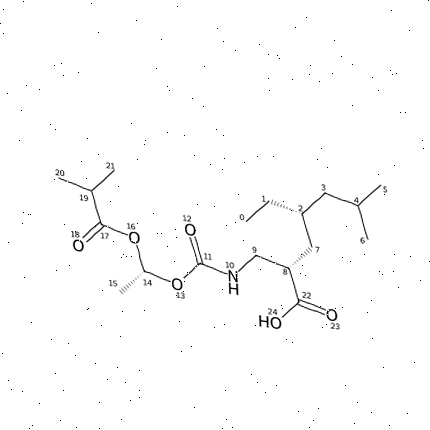 CC[C@H](CC(C)C)C[C@@H](CNC(=O)O[C@H](C)OC(=O)C(C)C)C(=O)O